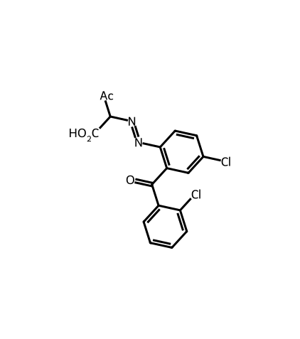 CC(=O)C(N=Nc1ccc(Cl)cc1C(=O)c1ccccc1Cl)C(=O)O